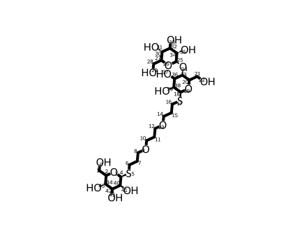 OCC1O[C@@H](SCCCOCCCOCCCS[C@@H]2OC(CO)[C@@H](O[C@@H]3OC(CO)[C@H](O)C(O)[C@@H]3O)C(O)[C@@H]2O)[C@@H](O)C(O)[C@@H]1O